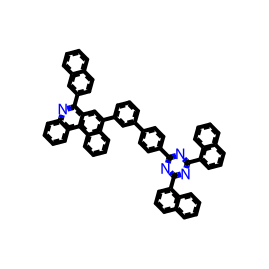 c1cc(-c2ccc(-c3nc(-c4cccc5ccccc45)nc(-c4cccc5ccccc45)n3)cc2)cc(-c2cc3c(-c4ccc5ccccc5c4)nc4ccccc4c3c3ccccc23)c1